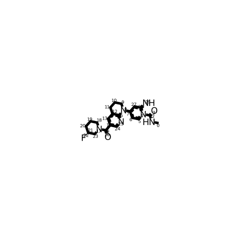 CNC(=O)n1ccc(N2CCCc3cc(C(=O)N4CCC[C@@H](F)C4)cnc32)cc1=N